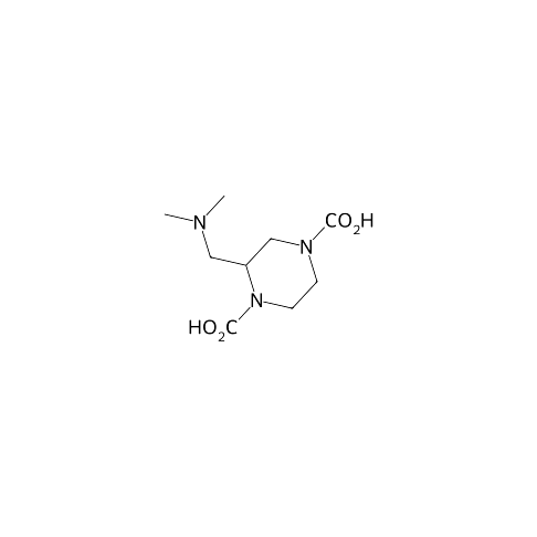 CN(C)CC1CN(C(=O)O)CCN1C(=O)O